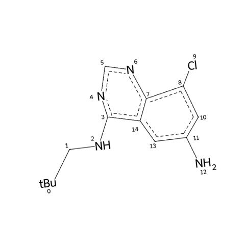 CC(C)(C)CNc1ncnc2c(Cl)cc(N)cc12